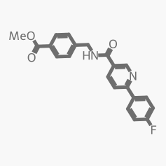 COC(=O)c1ccc(CNC(=O)c2ccc(-c3ccc(F)cc3)nc2)cc1